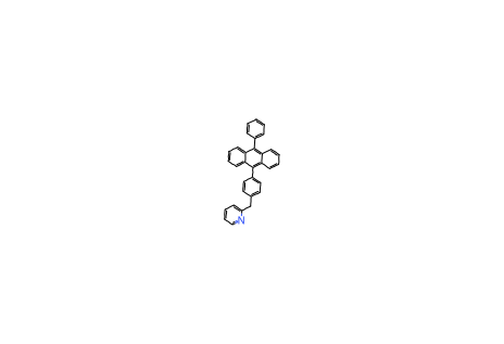 c1ccc(-c2c3ccccc3c(-c3ccc(Cc4ccccn4)cc3)c3ccccc23)cc1